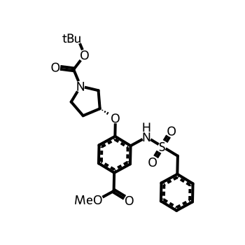 COC(=O)c1ccc(O[C@@H]2CCN(C(=O)OC(C)(C)C)C2)c(NS(=O)(=O)Cc2ccccc2)c1